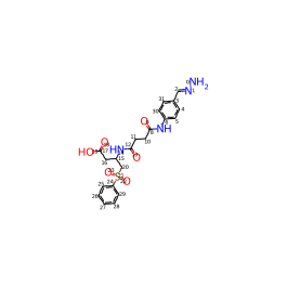 NN=Cc1ccc(NC(=O)CCC(=O)NC(CC(=O)O)CS(=O)(=O)c2ccccc2)cc1